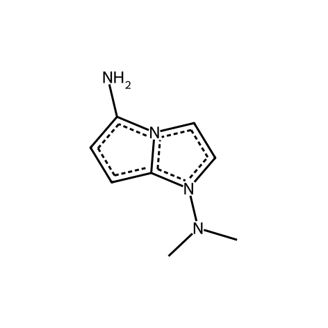 CN(C)n1ccn2c(N)ccc12